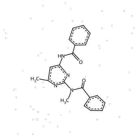 Cc1cc(NC(=O)c2ccccc2)nc(N(C)C(=O)c2ccccc2)n1